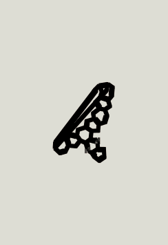 C1=CC2=C3C=C4CC5=C(C=CC4C2)CC2C(=C5)CC4=CC5=C(C=CC6CC1=C(C=C6C5)C3)CC4c1nc3ccccc3nc12